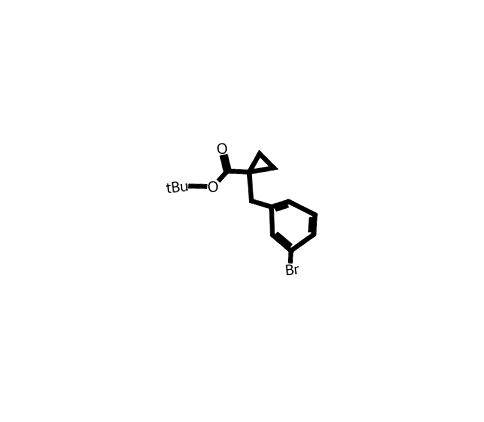 CC(C)(C)OC(=O)C1(Cc2cccc(Br)c2)CC1